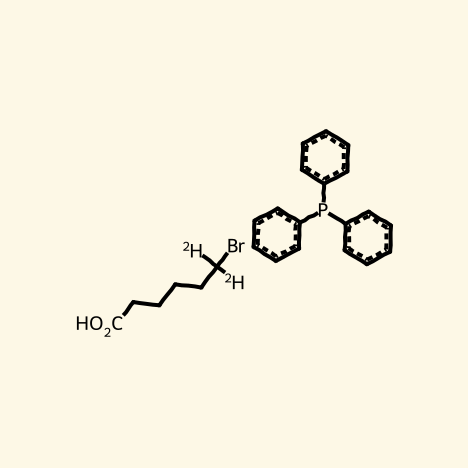 [2H]C([2H])(Br)CCCCC(=O)O.c1ccc(P(c2ccccc2)c2ccccc2)cc1